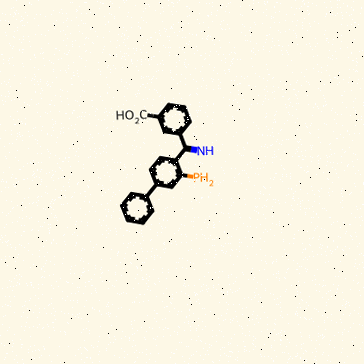 N=C(c1cccc(C(=O)O)c1)c1ccc(-c2ccccc2)cc1P